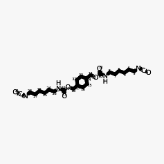 O=C=NCCCCCCNC(=O)OCC1CCC(COC(=O)NCCCCCCN=C=O)CC1